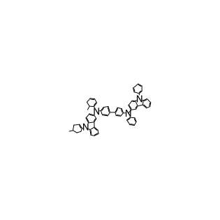 CC1CC=C(n2c3ccccc3c3cc(N(C4=CC=CCC4C)c4ccc(-c5ccc(N(c6ccccc6)c6ccc7c(c6)c6ccccc6n7-c6ccccc6)cc5)cc4)ccc32)CC1